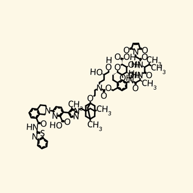 Cc1c(-c2ccc(N3CCc4cccc(C(=O)Nc5nc6ccccc6s5)c4C3)nc2C(=O)O)cnn1CC12CC3(C)CC(C)(C1)CC(OCCN(CC[C@H](O)CO)C(=O)OCc1ccc(NC(=O)[C@H](C)NC(=O)[C@@H](NC(=O)CN4C(=O)C=CC4=O)C(C)C)cc1CC[C@@H]1O[C@H](C(=O)O)[C@@H](O)[C@H](O)[C@H]1O)(C3)C2